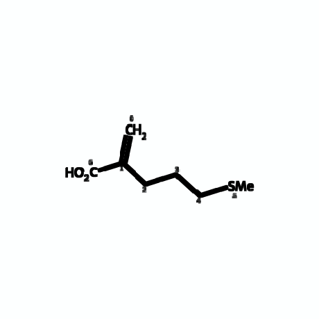 C=C(CCCSC)C(=O)O